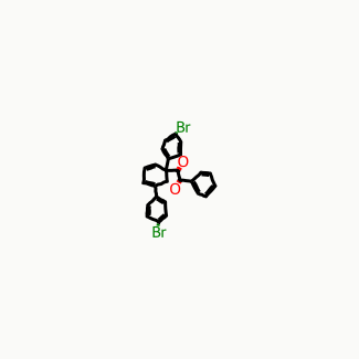 O=C(C(=O)C1(c2ccc(Br)cc2)C=CC=C(c2ccc(Br)cc2)C1)c1ccccc1